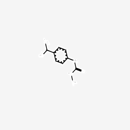 CC(O)c1ccc(NC(=O)OC(C)(C)C)cc1